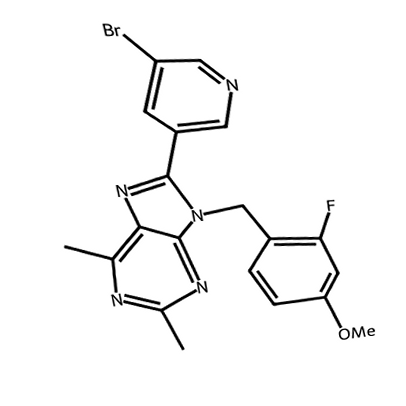 COc1ccc(Cn2c(-c3cncc(Br)c3)nc3c(C)nc(C)nc32)c(F)c1